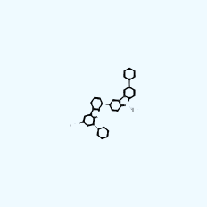 CCCc1cc(-c2ccccc2)c2sc3c(-c4ccc5c(c4)c4cc(-c6ccccc6)ccc4n5C(C)C)cccc3c2c1